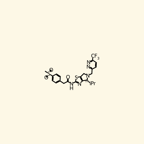 CC(C)[C@H]1c2nc(NC(=O)Cc3ccc(S(C)(=O)=O)cc3)sc2CN1Cc1ccc(C(F)(F)F)nn1